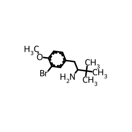 COc1ccc(CC(N)C(C)(C)C)cc1Br